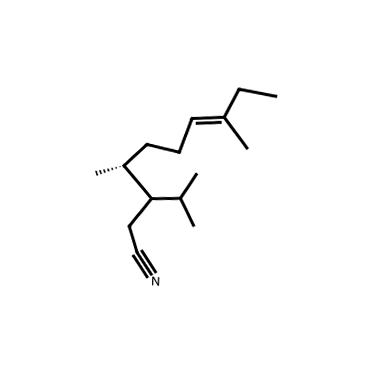 CC/C(C)=C/CC[C@@H](C)C(CC#N)C(C)C